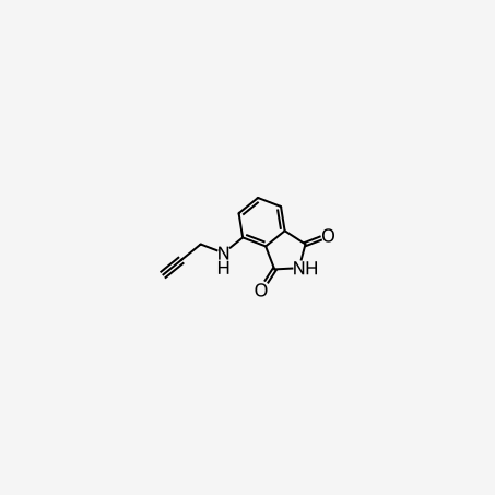 C#CCNc1cccc2c1C(=O)NC2=O